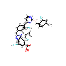 Cc1ccc(COc2nccc(-c3ccc(Cc4nc5c(F)cc(C(=O)O)cc5n4CC4(CF)CC4)cc3F)n2)c(F)c1